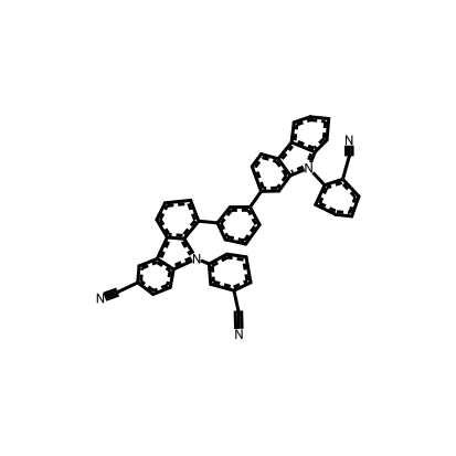 N#Cc1cccc(-n2c3ccc(C#N)cc3c3cccc(-c4cccc(-c5ccc6c7ccccc7n(-c7ccccc7C#N)c6c5)c4)c32)c1